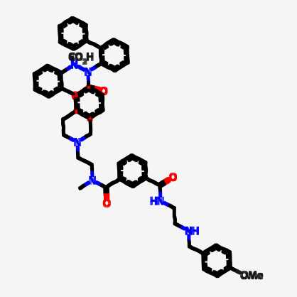 COc1ccc(CNCCNC(=O)c2cccc(C(=O)N(C)CCN3CCC(OC(=O)N(c4ccccc4-c4ccccc4)N(C(=O)O)c4ccccc4-c4ccccc4)CC3)c2)cc1